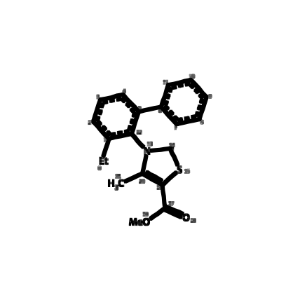 CCc1cccc(-c2ccccc2)c1N1[C]SC(C(=O)OC)=C1C